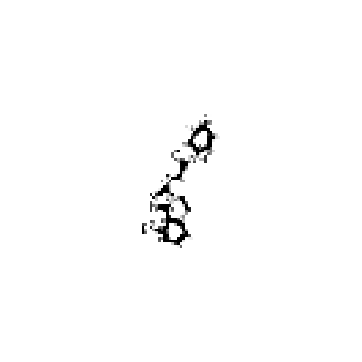 CCn1c(SCC(=O)Nc2ccc(Cl)cc2)nnc1-c1ccccc1Br